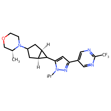 CC(C)n1nc(-c2cnc(C(F)(F)F)nc2)cc1C1[C@H]2CC(N3CCOC[C@H]3C)C[C@@H]12